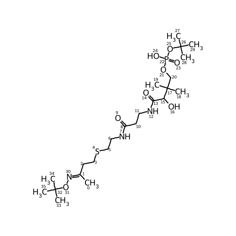 C/C(CCSCCNC(=O)CCNC(=O)C(O)C(C)(C)COP(=O)(O)OC(C)(C)C)=N\OC(C)(C)C